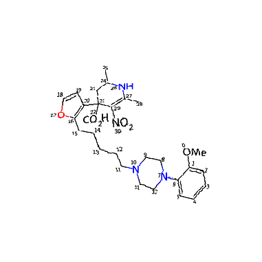 COc1ccccc1N1CCN(CCCCCc2occc2C2(C(=O)O)CC(C)NC(C)=C2[N+](=O)[O-])CC1